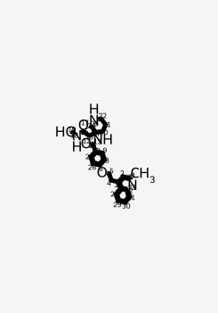 Cc1cc(CCOc2ccc(C(=O)NC3(CC(=O)NO)CCCNC3)cc2)c2ccccc2n1